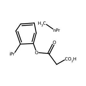 CC(C)c1ccccc1OC(=O)CC(=O)O.CCCC